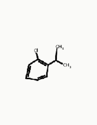 CC(C)c1[c]cccc1Cl